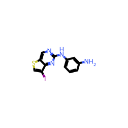 Nc1cccc(Nc2ncc3scc(I)c3n2)c1